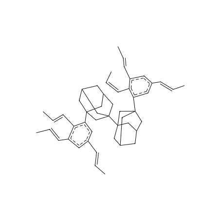 CC=Cc1cc(C=CC)c(C=CC)c(C23CC4CC(C2)CC(C25CC6CC(CC(c7cc(C=CC)cc(C=CC)c7C=CC)(C6)C2)C5)(C4)C3)c1